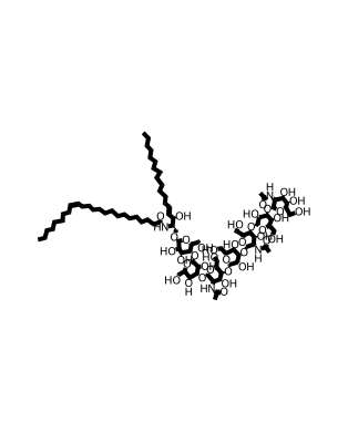 CCCCCCCC/C=C\CCCCCCCCCCCCCC(=O)N[C@@H](CO[C@@H]1OC(CO)[C@@H](O[C@@H]2OC(CO)[C@H](O)[C@H](O[C@@H]3OC(CO)[C@@H](O[C@@H]4OC(CO)[C@H](O)[C@H](O[C@@H]5OC(CO)[C@@H](O[C@@H]6OC(CO)[C@H](O)[C@H](O[C@@H]7OC(CO)[C@@H](O)[C@H](O)C7NC(C)=O)C6O)[C@H](O)C5NC(C)=O)C4O)[C@H](O)C3NC(C)=O)C2O)[C@H](O)C1O)[C@H](O)/C=C/CCCCCCCCCCCCC